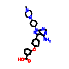 CN1CCN([C@H]2CC[C@@H](n3nc(-c4ccc(Oc5cccc(C(=O)O)c5)cc4)c4c(N)ncnc43)CC2)CC1